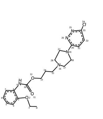 CCOc1ccccc1NC(=O)OCCCN1CCN(c2ccc(Cl)nn2)CC1